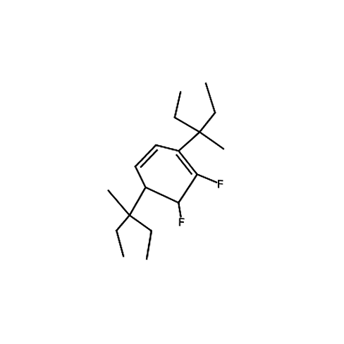 CCC(C)(CC)C1=C(F)C(F)C(C(C)(CC)CC)C=C1